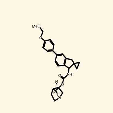 COCOc1ccc(-c2ccc3c(c2)CC2(CC2)C3NC(=O)O[C@H]2CN3CCC2CC3)cc1